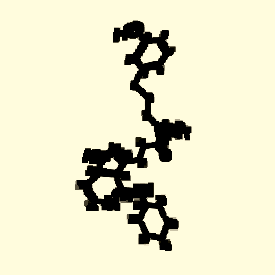 CCCN(CCCc1cccc(O)c1)C(=O)CCc1n[nH]c2ccnc(NC3CCCCC3)c12